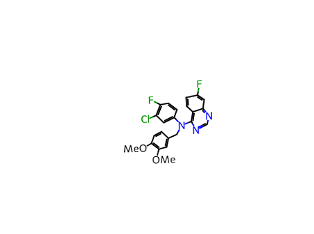 COc1ccc(CN(c2ccc(F)c(Cl)c2)c2ncnc3cc(F)ccc23)cc1OC